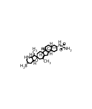 B[C@@H]1CN[C@H]2[C@@H](C)[C@@]3(CC[C@@H]4C(=C(C)C3)C[C@H]3[C@H]4CC[C@@H]4C[C@H](NS(N)(=O)=O)CC[C@@]43C)O[C@@H]2C1